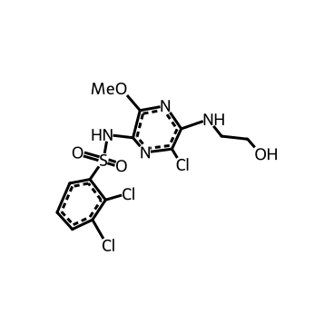 COc1nc(NCCO)c(Cl)nc1NS(=O)(=O)c1cccc(Cl)c1Cl